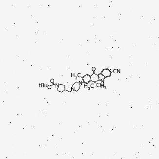 Cc1cc2c(cc1N1CCN(CC3CCN(C(=O)OC(C)(C)C)CC3)CC1)C(C)(C)c1[nH]c3cc(C#N)ccc3c1C2=O